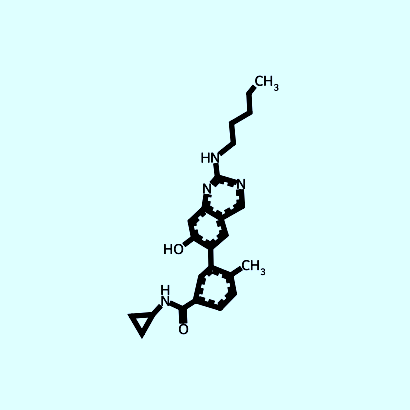 CCCCCNc1ncc2cc(-c3cc(C(=O)NC4CC4)ccc3C)c(O)cc2n1